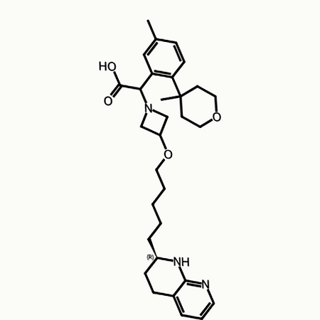 Cc1ccc(C2(C)CCOCC2)c(C(C(=O)O)N2CC(OCCCCC[C@@H]3CCc4cccnc4N3)C2)c1